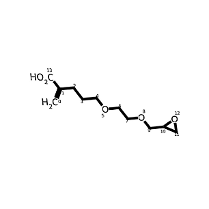 C=C(CCCOCCOCC1CO1)C(=O)O